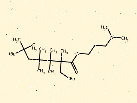 CN(C)CCCNC(=O)C(C)(CC(C)(C)C)C(C)(C)C(C)(C)CC(C)(C)C(C)(C)C